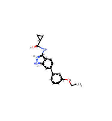 CCOc1cccc(-c2ccc3c(NC(=O)C4CC4)n[nH]c3c2)c1